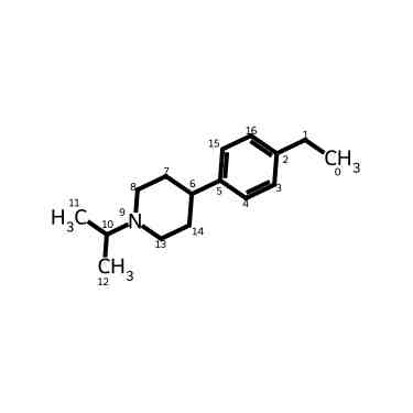 CCc1ccc(C2CCN(C(C)C)CC2)cc1